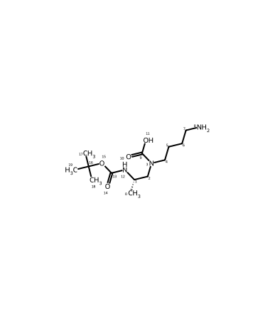 C[C@@H](CN(CCCCN)C(=O)O)NC(=O)OC(C)(C)C